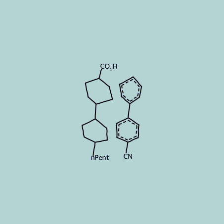 CCCCCC1CCC(C2CCC(C(=O)O)CC2)CC1.N#Cc1ccc(-c2ccccc2)cc1